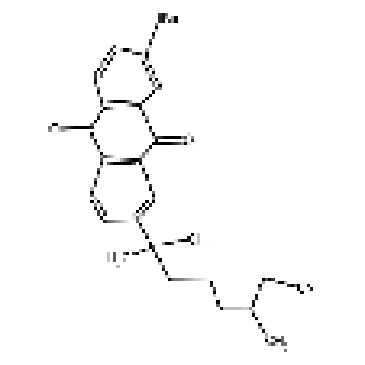 CC(CC#N)CCCC(C)(C)c1ccc2c(c1)C(=O)c1cc(C(C)(C)C)ccc1C2=O